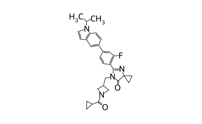 CC(C)n1ccc2cc(-c3ccc(C4=NC5(CC5)C(=O)N4CC4CN(C(=O)C5CC5)C4)c(F)c3)ccc21